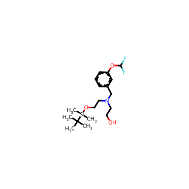 CC(C)(C)[Si](C)(C)OCCN(CCO)Cc1cccc(OC(F)F)c1